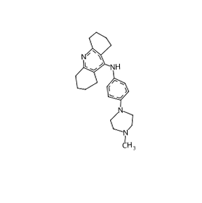 CN1CCN(c2ccc(Nc3c4c(nc5c3CCCC5)CCCC4)cc2)CC1